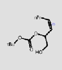 CCC/C=C\C(CO)OC(=O)OC(C)(C)C